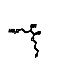 O=C(O)CCC(O)C(=O)OCCCF